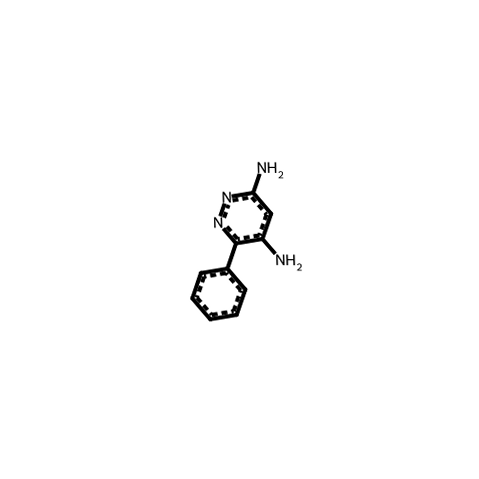 Nc1cc(N)c(-c2ccccc2)nn1